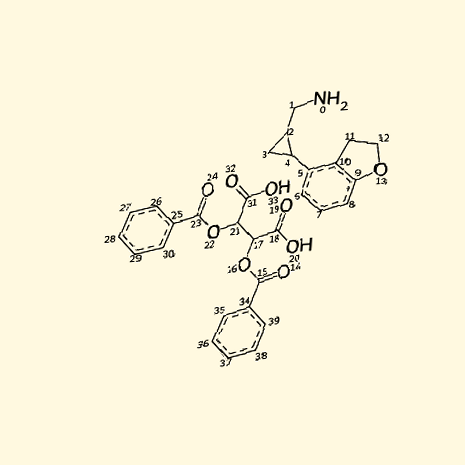 NCC1CC1c1cccc2c1CCO2.O=C(OC(C(=O)O)C(OC(=O)c1ccccc1)C(=O)O)c1ccccc1